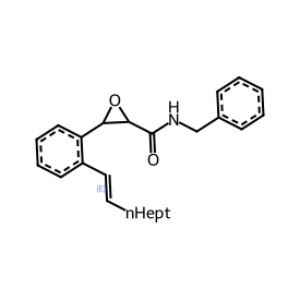 CCCCCCC/C=C/c1ccccc1C1OC1C(=O)NCc1ccccc1